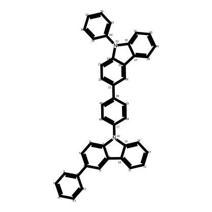 c1ccc(-c2ccc3c(c2)c2ccccc2n3-c2ccc(-c3ccc4c(c3)c3ccccc3n4-c3ccccc3)cc2)cc1